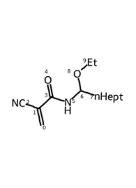 C=C(C#N)C(=O)NC(CCCCCCC)OCC